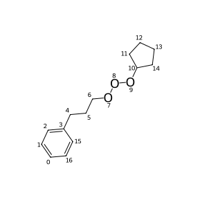 c1ccc(CCCOOOC2CCCC2)cc1